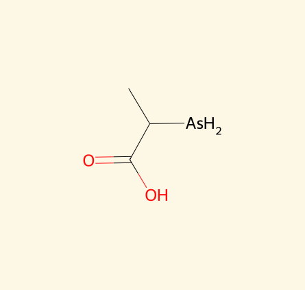 CC([AsH2])C(=O)O